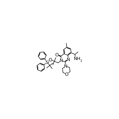 Cc1cc(C(C)N)c2nc(N3CCOCC3)n(CC(C)(C)O[Si](c3ccccc3)(c3ccccc3)C(C)(C)C)c(=O)c2c1